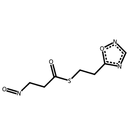 O=NCCC(=O)SCCc1ncno1